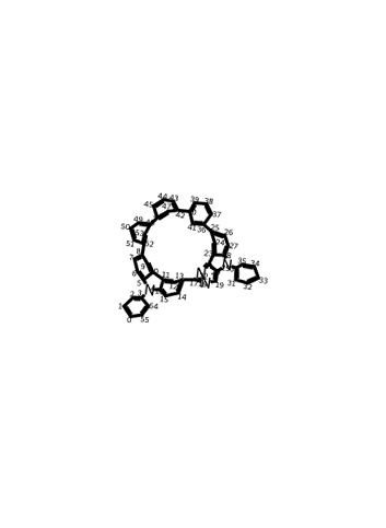 c1ccc(-n2c3ccc4cc3c3cc(ccc32)c2ncc3c(n2)c2cc(ccc2n3-c2ccccc2)c2cccc(c2)c2cccc(c2)c2cccc4c2)cc1